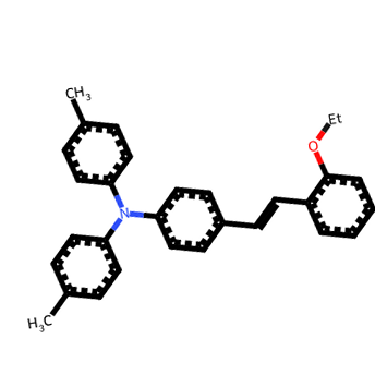 CCOc1ccccc1C=Cc1ccc(N(c2ccc(C)cc2)c2ccc(C)cc2)cc1